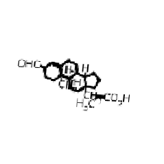 CC(C(=O)O)[C@H]1CC[C@H]2[C@@H]3CCC4=CC(C=O)CC[C@]4(C)[C@H]3CC[C@]12C